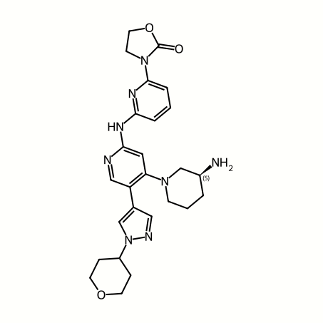 N[C@H]1CCCN(c2cc(Nc3cccc(N4CCOC4=O)n3)ncc2-c2cnn(C3CCOCC3)c2)C1